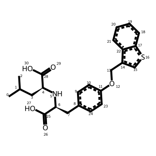 CC(C)C[C@H](N[C@@H](Cc1ccc(OCc2csc3ccccc23)cc1)C(=O)O)C(=O)O